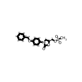 CS(=O)(=O)OC[C@@H]1CN(c2ccc(OCc3ccccc3)cc2)C(=O)O1